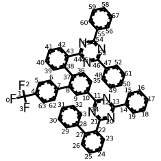 FC(F)(F)c1ccc(-c2cc(-c3nc(-c4ccccc4)nc(-c4ccccc4-c4ccccc4)n3)ccc2-c2ccccc2-c2nc(-c3ccccc3)nc(-c3ccccc3)n2)cc1